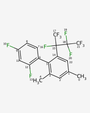 Cc1[c]c(C)c(-c2ccc(F)cc2F)c(C(F)(C(F)(F)F)C(F)(F)C(F)(F)F)c1